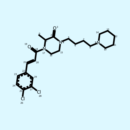 CC1C(=O)N(CCCCN2CCCCC2)CCN1C(=O)C=Cc1ccc(Cl)c(Cl)c1